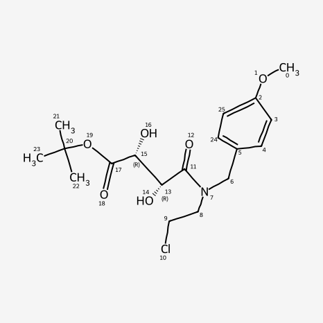 COc1ccc(CN(CCCl)C(=O)[C@H](O)[C@@H](O)C(=O)OC(C)(C)C)cc1